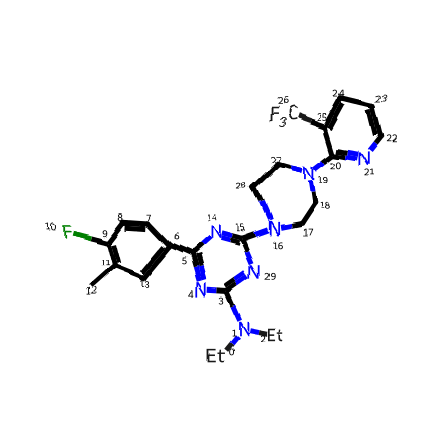 CCN(CC)c1nc(-c2ccc(F)c(C)c2)nc(N2CCN(c3ncccc3C(F)(F)F)CC2)n1